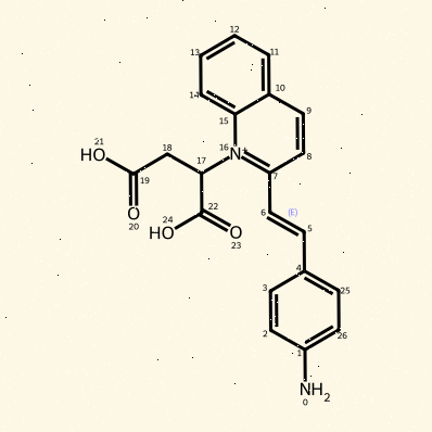 Nc1ccc(/C=C/c2ccc3ccccc3[n+]2C(CC(=O)O)C(=O)O)cc1